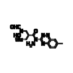 Cc1ccc2nc(N(N)C(=O)C(CN(O)C=O)CC(C)(C)C)nnc2c1